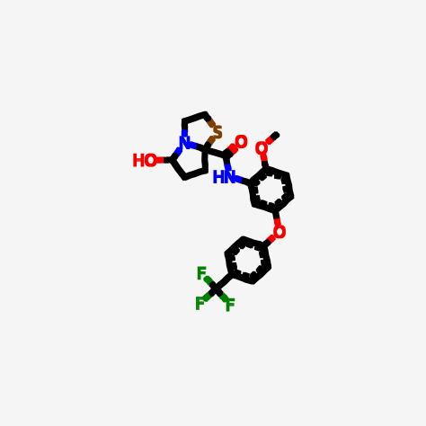 COc1ccc(Oc2ccc(C(F)(F)F)cc2)cc1NC(=O)C12CCC(O)N1CCS2